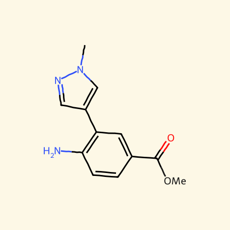 COC(=O)c1ccc(N)c(-c2cnn(C)c2)c1